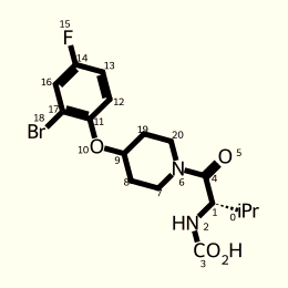 CC(C)[C@H](NC(=O)O)C(=O)N1CCC(Oc2ccc(F)cc2Br)CC1